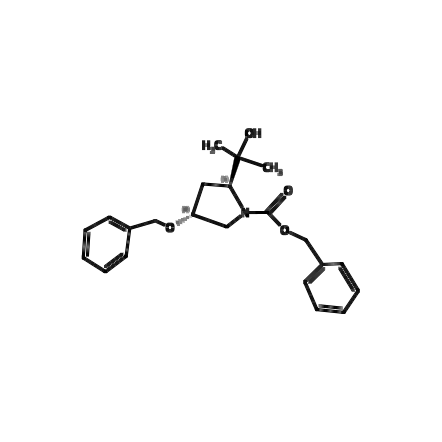 CC(C)(O)[C@@H]1C[C@@H](OCc2ccccc2)CN1C(=O)OCc1ccccc1